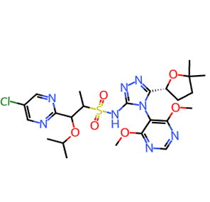 COc1ncnc(OC)c1-n1c(NS(=O)(=O)C(C)C(OC(C)C)c2ncc(Cl)cn2)nnc1[C@H]1CCC(C)(C)O1